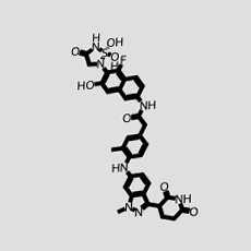 Cc1cc(CC(=O)Nc2ccc3c(F)c(N4CC(=O)NS4(O)O)c(O)cc3c2)ccc1Nc1ccc2c(C3CCC(=O)NC3=O)nn(C)c2c1